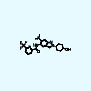 CN(C)c1cc2nn([C@H]3CC[C@H](O)CC3)cc2cc1NC(=O)c1cccc(C(F)(F)F)n1